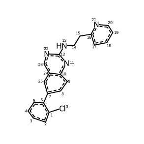 Clc1ccccc1-c1ccc2nc(NCCc3ccccn3)ncc2c1